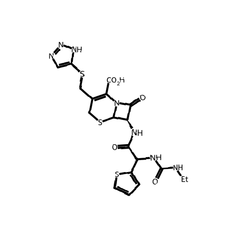 CCNC(=O)NC(C(=O)N[C@@H]1C(=O)N2C(C(=O)O)=C(CSc3cnn[nH]3)CSC12)c1cccs1